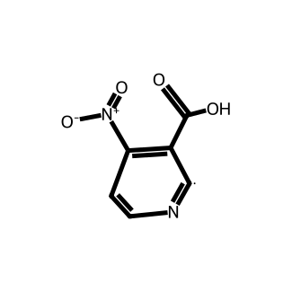 O=C(O)c1[c]nccc1[N+](=O)[O-]